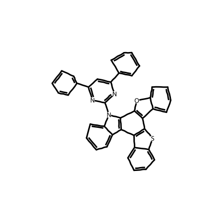 c1ccc(-c2cc(-c3ccccc3)nc(-n3c4ccccc4c4c5c6ccccc6sc5c5c6ccccc6oc5c43)n2)cc1